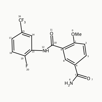 COc1ccc(C(N)=O)cc1C(=O)Nc1cc(C(F)(F)F)ccc1F